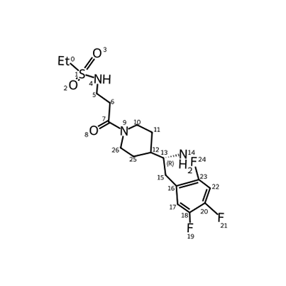 CCS(=O)(=O)NCCC(=O)N1CCC([C@H](N)Cc2cc(F)c(F)cc2F)CC1